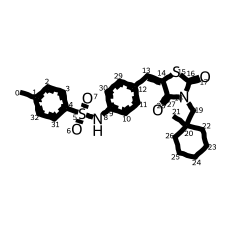 Cc1ccc(S(=O)(=O)Nc2ccc(C=C3SC(=O)N(CC4(C)CCCCC4)C3=O)cc2)cc1